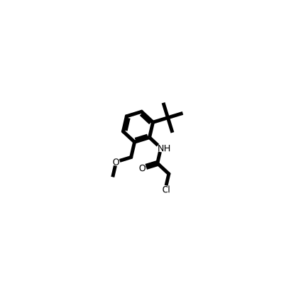 COCc1cccc(C(C)(C)C)c1NC(=O)CCl